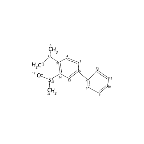 CC(C)c1ccc(-c2ccccc2)cc1[S+](C)[O-]